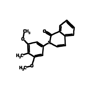 COc1cc(-n2ccc3ccccc3c2=O)cc(OC)c1C